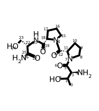 CC(O)[C@H](N)C(=O)N1CCC[C@H]1C(=O)N1CCC[C@H]1C(=O)N[C@@H](CO)C(N)=O